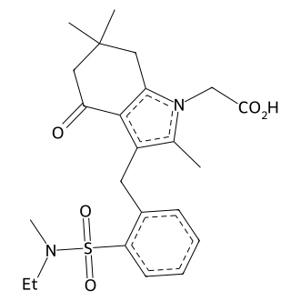 CCN(C)S(=O)(=O)c1ccccc1Cc1c2c(n(CC(=O)O)c1C)CC(C)(C)CC2=O